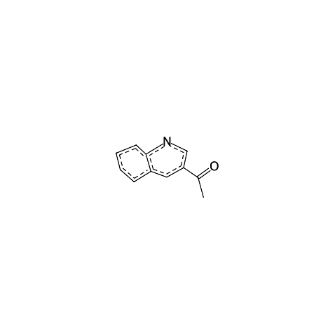 CC(=O)c1cnc2ccccc2c1